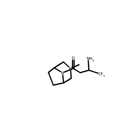 CN1CC2CCC(C1)N2C(=O)CC(N)C(F)(F)F